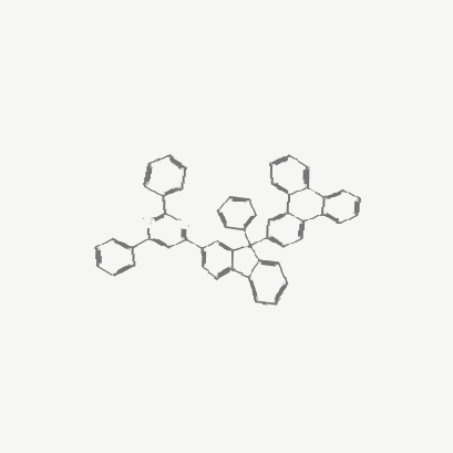 c1ccc(-c2cc(-c3ccc4c(c3)C(c3ccccc3)(c3ccc5c6ccccc6c6ccccc6c5c3)c3ccccc3-4)nc(-c3ccccc3)n2)cc1